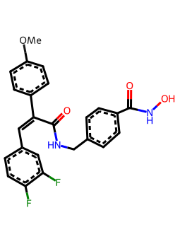 COc1ccc(C(=Cc2ccc(F)c(F)c2)C(=O)NCc2ccc(C(=O)NO)cc2)cc1